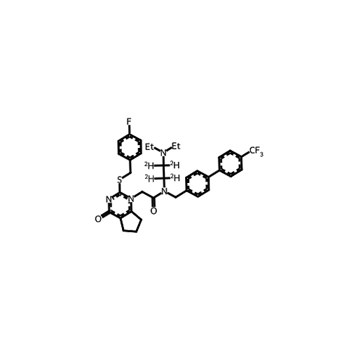 [2H]C([2H])(N(CC)CC)C([2H])([2H])N(Cc1ccc(-c2ccc(C(F)(F)F)cc2)cc1)C(=O)Cn1c(SCc2ccc(F)cc2)nc(=O)c2c1CCC2